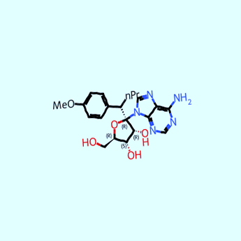 CCCC(c1ccc(OC)cc1)[C@@]1(n2cnc3c(N)ncnc32)O[C@H](CO)[C@@H](O)[C@H]1O